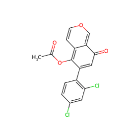 CC(=O)Oc1c(-c2ccc(Cl)cc2Cl)cc(=O)c2coccc1-2